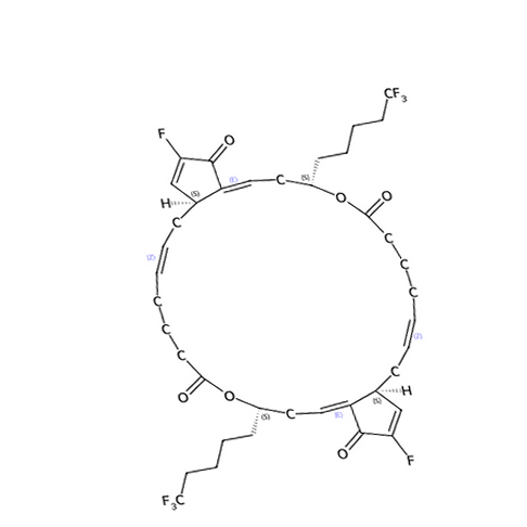 O=C1CCC/C=C\C[C@H]2C=C(F)C(=O)/C2=C/C[C@H](CCCCC(F)(F)F)OC(=O)CCC/C=C\C[C@H]2C=C(F)C(=O)/C2=C/C[C@H](CCCCC(F)(F)F)O1